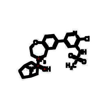 CS(=O)(=O)Nc1cc(-c2ccc3c(c2)CN(C(=O)N2C4CCC2CC(O)(C(F)(F)F)C4)CCO3)cnc1Cl